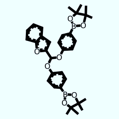 CC1(C)OB(c2ccc(OC(Oc3ccc(B4OC(C)(C)C(C)(C)O4)cc3)c3cc4ccccc4o3)cc2)OC1(C)C